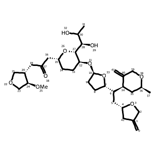 C=C1CO[C@@H](CC([C@@H]2CC[C@@H](O[C@H]3CC[C@H](CC(=O)C[C@H]4COC[C@@H]4OC)O[C@@H]3[C@H](O)C(C)O)O2)[C@@H]2C[C@H](C)OCC2=C)C1